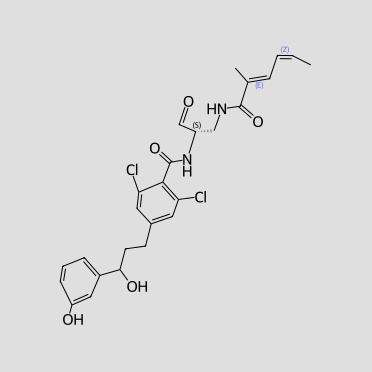 C/C=C\C=C(/C)C(=O)NC[C@@H](C=O)NC(=O)c1c(Cl)cc(CCC(O)c2cccc(O)c2)cc1Cl